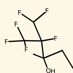 CCC(C)(O)C(F)(C(F)F)C(F)(F)F